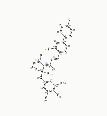 C\C=C(F)/C(=C(F)\C=C\c1ccc(-c2ccc(C)cc2)cc1F)C(F)(F)Oc1cc(F)c(F)c(F)c1